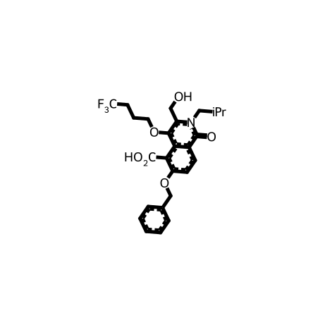 CC(C)Cn1c(CO)c(OCCCC(F)(F)F)c2c(C(=O)O)c(OCc3ccccc3)ccc2c1=O